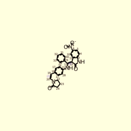 O=C1Nc2ccc([N+](=O)[O-])cc2/C1=C(/Nc1ccc(/C=C\N2CCCC2=O)cc1)c1ccccc1